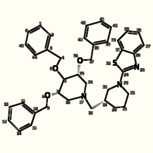 c1ccc(COC2[C@@H](OCc3ccccc3)CN(C[C@H]3CCCN(c4nc5ccccc5s4)C3)C[C@H]2OCc2ccccc2)cc1